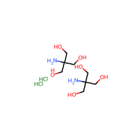 Cl.Cl.NC(CO)(CO)CO.NC(CO)(CO)CO